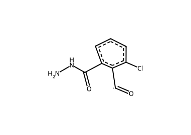 NNC(=O)c1cccc(Cl)c1[C]=O